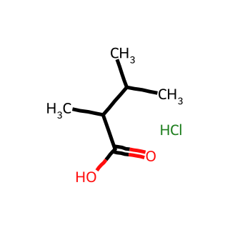 CC(C)C(C)C(=O)O.Cl